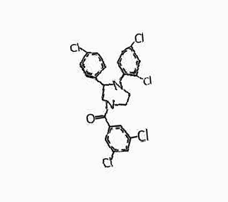 O=C(c1cc(Cl)cc(Cl)c1)N1CCN(c2ccc(Cl)cc2Cl)C(c2ccc(Cl)cc2)C1